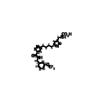 O=C(O)NCc1cn(CCCCn2cc(C(=O)NCc3cccc(OC(F)(F)F)c3)nn2)nn1